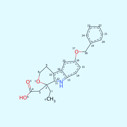 CCC1(CC(=O)O)OCCc2c1[nH]c1ccc(OCc3ccccc3)cc21